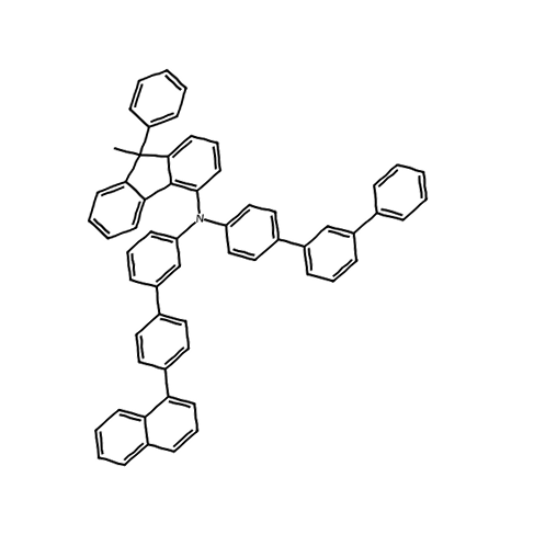 CC1(c2ccccc2)c2ccccc2-c2c(N(c3ccc(-c4cccc(-c5ccccc5)c4)cc3)c3cccc(-c4ccc(-c5cccc6ccccc56)cc4)c3)cccc21